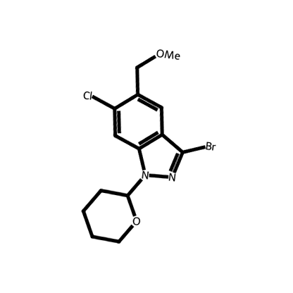 COCc1cc2c(Br)nn(C3CCCCO3)c2cc1Cl